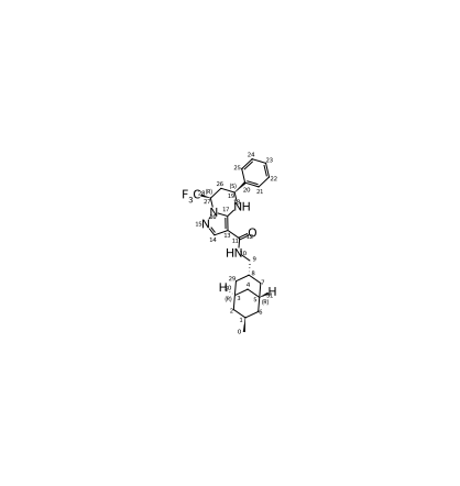 C[C@H]1C[C@@H]2C[C@@H](C1)C[C@@H](CNC(=O)c1cnn3c1N[C@H](c1ccccc1)C[C@@H]3C(F)(F)F)C2